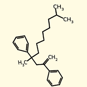 C=C(CC(C)(CCCCCCC(C)C)c1ccccc1)c1ccccc1